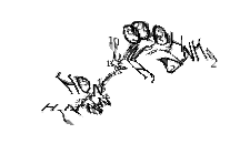 NC(=O)CC[C@H](NC(=O)c1ccc(CCn2cnc3nc(N)cc-3c2O)s1)C(=O)O